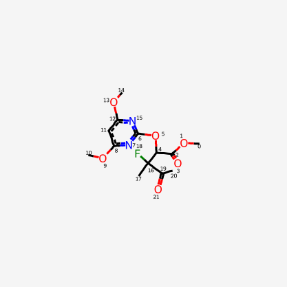 COC(=O)C(Oc1nc(OC)cc(OC)n1)C(C)(F)C(C)=O